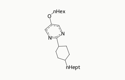 CCCCCCCC1CCC(c2ncc(OCCCCCC)cn2)CC1